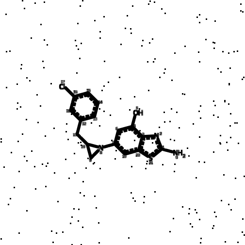 Nc1nc2c(O)cc(N3CC3Cc3cccc(Cl)c3)cc2s1